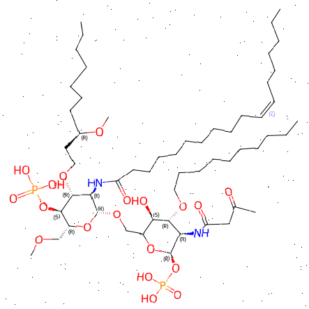 CCCCCC/C=C\CCCCCCCCCC(=O)N[C@H]1[C@H](OCC2O[C@H](OP(=O)(O)O)[C@H](NC(=O)CC(C)=O)[C@@H](OCCCCCCCCCC)[C@@H]2O)O[C@H](COC)[C@@H](OP(=O)(O)O)[C@@H]1OCC[C@@H](CCCCCCC)OC